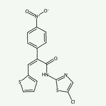 O=C(Nc1ncc(Cl)s1)C(=Cc1cccs1)c1ccc([N+](=O)[O-])cc1